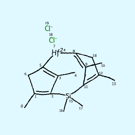 CC1=C2C(C)=[C](C1)[Hf+2][C]1=C(C)C(=C(C)C1)[Si]2(C)C.[Cl-].[Cl-]